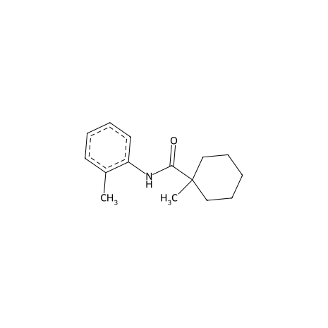 Cc1ccccc1NC(=O)C1(C)CCCCC1